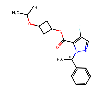 CC(C)O[C@H]1C[C@@H](OC(=O)c2c(F)cnn2[C@H](C)c2ccccc2)C1